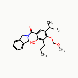 CCCc1c(O)c(C(=O)N2Cc3ccccc3C2)cc(C(C)C)c1OCOC